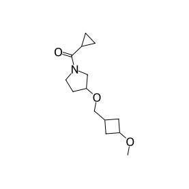 COC1CC(COC2CCN(C(=O)C3CC3)C2)C1